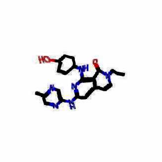 CCn1ccc2cc(Nc3cnc(C)cn3)nc(NC3CCC(O)CC3)c2c1=O